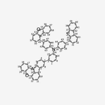 c1cc(-c2ccc3c(c2)c2cccc4c2n3-c2ccccc2O4)cc(N(c2ccc(-c3cccc4c3sc3ccccc34)cc2)c2ccc(-c3cccc4oc5ccccc5c34)cc2)c1